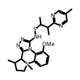 COc1cccc2c1-n1c(NSC(C)C(C)c3ncc(C)cn3)nnc1C1C(C)CCS21C